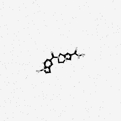 Cn1ccc2cc(C(=O)N3CCn4cc(C(=O)NO)cc4C3)ccc21